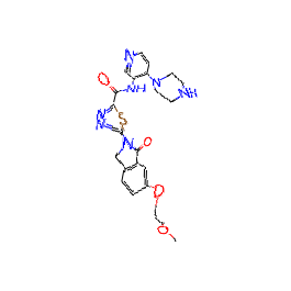 COCCOc1ccc2c(c1)C(=O)N(c1nnc(C(=O)Nc3cnccc3N3CCNCC3)s1)C2